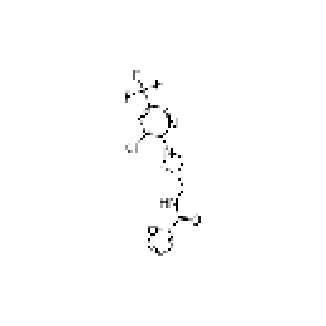 O=C(NCC1CN(c2ncc(C(F)(F)F)cc2Cl)C1)c1ccco1